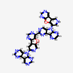 c1ncc2c(n1)oc1c(-n3c4cnc(-c5ncnc6c5oc5cnc(-n7c8cncnc8c8cncnc87)cc56)nc4c4nccnc43)cncc12